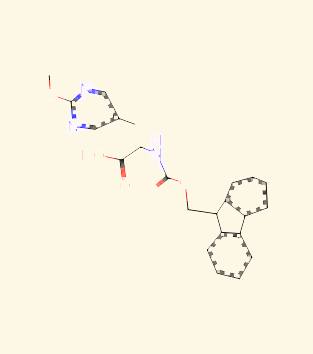 COc1ncc(C[C@H](NC(=O)OCC2c3ccccc3-c3ccccc32)C(=O)O)cn1